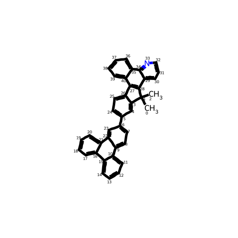 CC1(C)c2cc(-c3ccc4c5ccccc5c5ccccc5c4c3)ccc2-c2c1c1cccnc1c1ccccc21